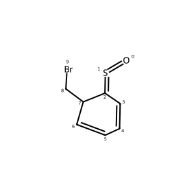 O=S=C1C=CC=CC1CBr